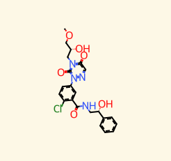 COC[C@H](O)Cn1c(=O)cnn(-c2ccc(Cl)c(C(=O)NC[C@H](O)c3ccccc3)c2)c1=O